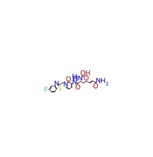 NC(=O)C=CCCC(NC(=O)O)C(=O)Nc1cccn(Cc2nc3cc(F)ccc3s2)c1=O